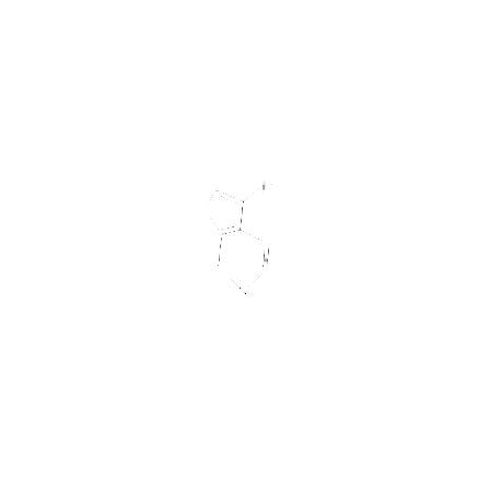 CC(C)c1csc2cnccc12